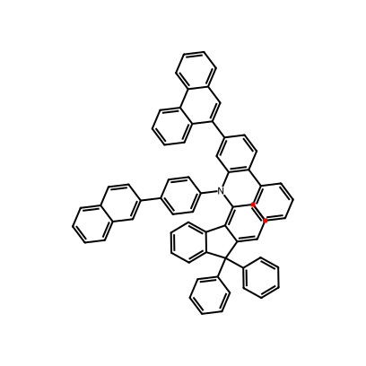 c1ccc(-c2ccc(-c3cc4ccccc4c4ccccc34)cc2N(c2ccc(-c3ccc4ccccc4c3)cc2)c2cccc3c2-c2ccccc2C3(c2ccccc2)c2ccccc2)cc1